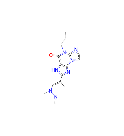 C=NN(C)/C=C(\C)c1nc2c([nH]1)c(=O)n(CCC)c1nccn21